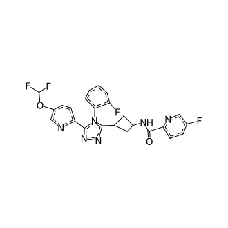 O=C(NC1CC(c2nnc(-c3ccc(OC(F)F)cn3)n2-c2ccccc2F)C1)c1ccc(F)cn1